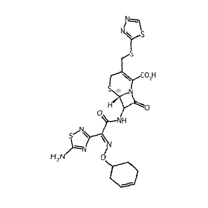 Nc1nc(C(=NOC2CC=CCC2)C(=O)NC2C(=O)N3C(C(=O)O)=C(CSc4nncs4)CS[C@@H]23)ns1